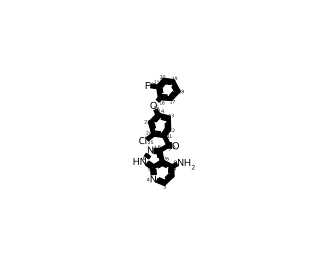 Nc1ccnc2[nH]nc(C(=O)c3ccc(Oc4ccccc4F)cc3Cl)c12